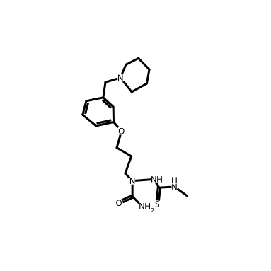 CNC(=S)NN(CCCOc1cccc(CN2CCCCC2)c1)C(N)=O